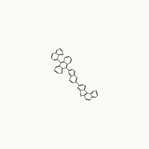 c1ccc2c(-c3c4ccccc4c(-c4ccc5cc(-c6ccc7c(c6)sc6ccc8ccccc8c67)ccc5c4)c4ccccc34)cccc2c1